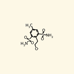 Cc1cc(S(N)(=O)=O)c(CC[O])c(S(N)(=O)=O)c1